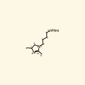 CCCCCCCCCCN1CC(C)N=C1C